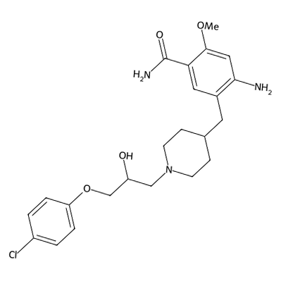 COc1cc(N)c(CC2CCN(CC(O)COc3ccc(Cl)cc3)CC2)cc1C(N)=O